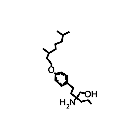 CCC[C@@](N)(CO)CCc1ccc(OCCC(C)CCCC(C)C)cc1